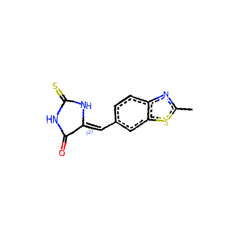 Cc1nc2ccc(/C=C3\NC(=S)NC3=O)cc2s1